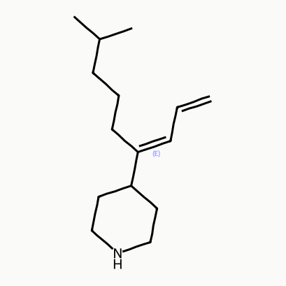 C=C/C=C(\CCCC(C)C)C1CCNCC1